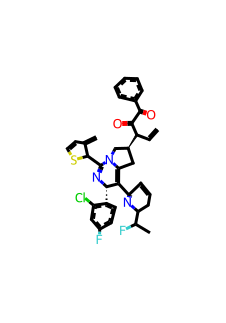 C=CC(C(=O)C(=O)c1ccccc1)[C@H]1CC2=C(C3=NC(C(C)F)CC=C3)[C@H](c3ccc(F)cc3Cl)N=C(C3SC=CC3=C)N2C1